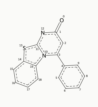 O=c1cc(-c2ccccc2)n2c(n1)sc1ccccc12